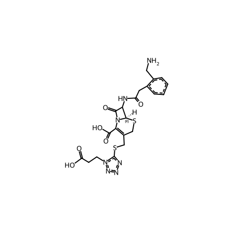 NCc1ccccc1CC(=O)NC1C(=O)N2C(C(=O)O)=C(CSc3nnnn3CCC(=O)O)CS[C@H]12